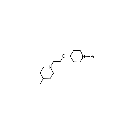 CC1CCN(CCOC2CCN(C(C)C)CC2)CC1